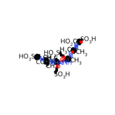 Cc1cc(N=Nc2ccc(S(=O)(=O)O)cc2C(=O)O)c(C)cc1N=Nc1cc(OCCCS(=O)(=O)O)c(NC(=O)Nc2cc(C)c(N=Nc3cc(C)c(N=Nc4ccc(S(=O)(=O)O)cc4C(=O)O)cc3C)cc2OCCCS(=O)(=O)O)cc1C